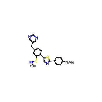 CNc1ccc(-c2ncc(-c3ccc(Cc4cncnc4)cc3SNC(C)(C)C)s2)cc1